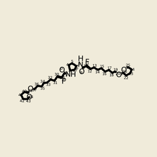 O=C(N[C@@H]1CC[C@H](NC(=O)/C(F)=C/CCCCCCCOC2CCCCO2)C1)/C(F)=C/CCCCCCCOC1CCCCO1